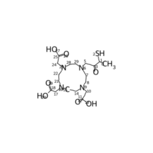 CC(S)C(=O)CN1CCN(CC(=O)O)CCN(CC(=O)O)CCN(CC(=O)O)CC1